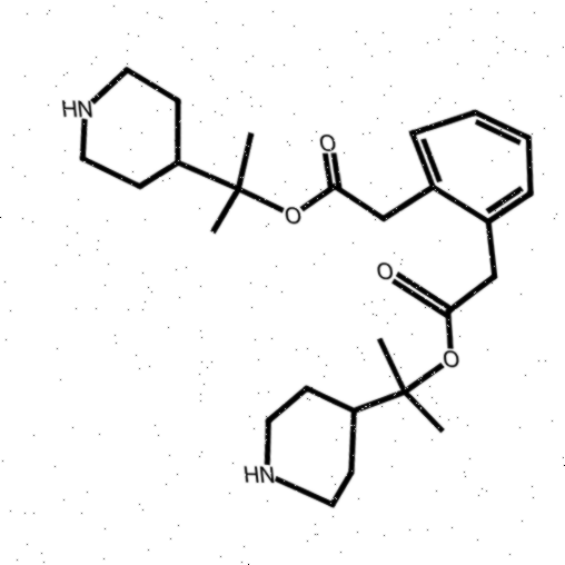 CC(C)(OC(=O)Cc1ccccc1CC(=O)OC(C)(C)C1CCNCC1)C1CCNCC1